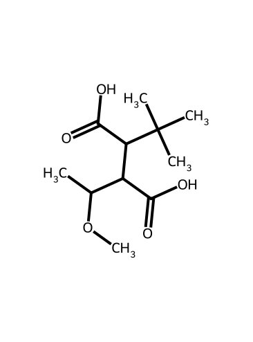 COC(C)C(C(=O)O)C(C(=O)O)C(C)(C)C